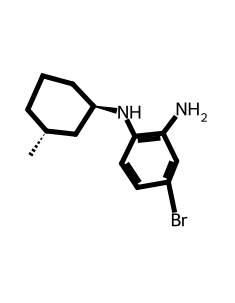 C[C@@H]1CCC[C@@H](Nc2ccc(Br)cc2N)C1